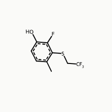 Cc1ccc(O)c(F)c1SCC(F)(F)F